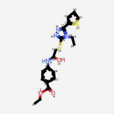 CCOC(=O)c1ccc(NC(O)CSc2nnc(-c3cccs3)n2CC)cc1